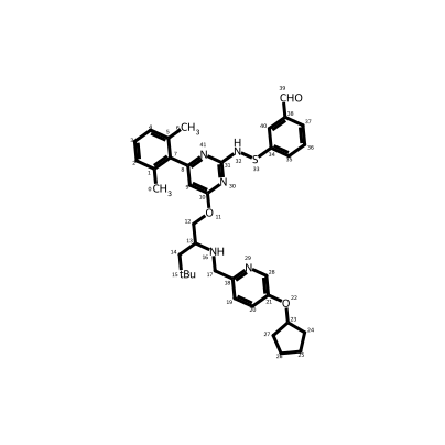 Cc1cccc(C)c1-c1cc(OCC(CC(C)(C)C)NCc2ccc(OC3CCCC3)cn2)nc(NSc2cccc(C=O)c2)n1